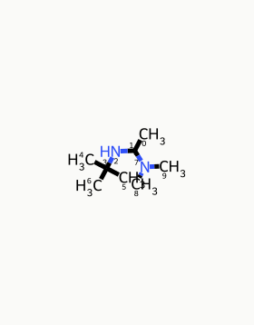 C[C](NC(C)(C)C)N(C)C